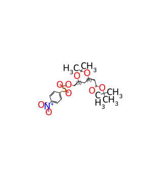 CC(C)(C)OC(=O)C[C@H]1C[C@@H](COS(=O)(=O)c2ccc([N+](=O)[O-])cc2)OC(C)(C)O1